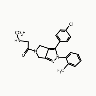 O=C(O)NCC(=O)N1Cc2nn(-c3ccccc3C(F)(F)F)c(-c3ccc(Cl)cc3)c2C1